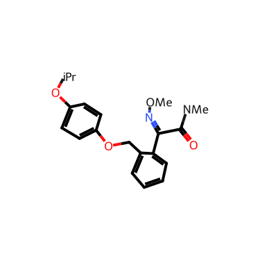 CNC(=O)C(=NOC)c1ccccc1COc1ccc(OC(C)C)cc1